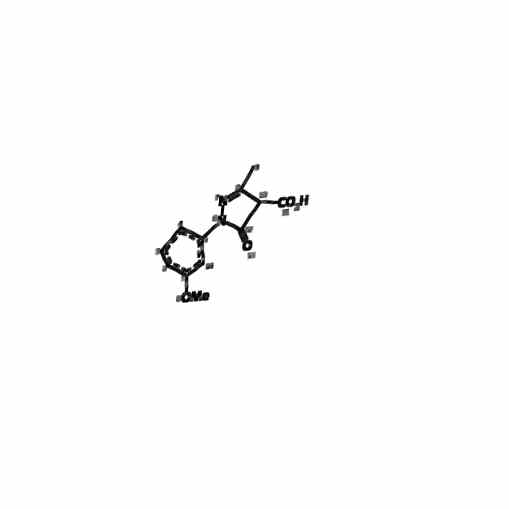 COc1cccc(N2N=C(C)C(C(=O)O)C2=O)c1